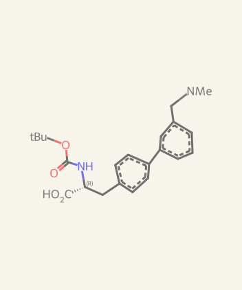 CNCc1cccc(-c2ccc(C[C@@H](NC(=O)OC(C)(C)C)C(=O)O)cc2)c1